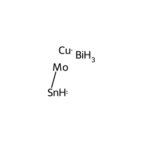 [BiH3].[Cu].[Mo][SnH]